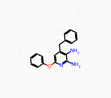 Nc1nc(Oc2ccccc2)cc(Cc2ccccc2)c1N